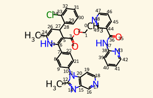 CCOC(=O)C1=C(c2ccc(-n3c(C)nc4cnccc43)cc2)NC(C)=CC1c1ccccc1Cl.O=C(Nc1ccccn1)c1cccnc1